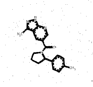 Cc1ccc(C2CCCN2C(=O)c2cnc3[nH]nc(C)c3c2)cc1